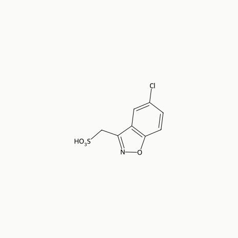 O=S(=O)(O)Cc1noc2ccc(Cl)cc12